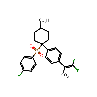 O=C(O)C(=C(F)F)c1ccc(C2(S(=O)(=O)c3ccc(F)cc3)CCC(C(=O)O)CC2)cc1